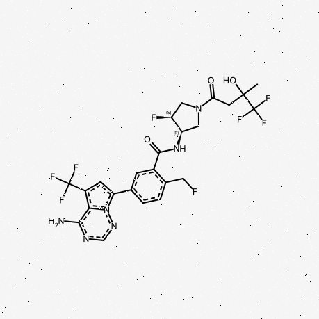 CC(O)(CC(=O)N1C[C@H](F)[C@H](NC(=O)c2cc(-c3cc(C(F)(F)F)c4c(N)ncnn34)ccc2CF)C1)C(F)(F)F